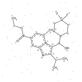 CCOC(=O)c1cc(C)n2c(C(O)C3CCC(F)(F)CC3)c(C(C)C)nc2c1